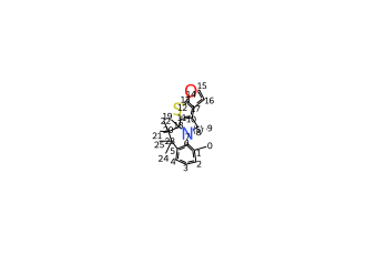 Cc1cccc2c1N1[C@@H](C)c3c(sc4occc34)C1(C)C(C)(C)C2(C)C